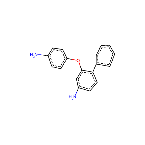 Nc1ccc(Oc2cc(N)ccc2-c2ccccc2)cc1